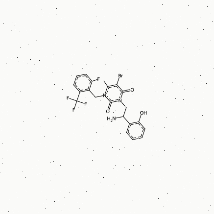 Cc1c(Br)c(=O)n(CC(N)c2ccccc2O)c(=O)n1Cc1c(F)cccc1C(F)(F)F